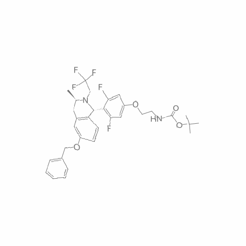 C[C@@H]1Cc2cc(OCc3ccccc3)ccc2[C@@H](c2c(F)cc(OCCNC(=O)OC(C)(C)C)cc2F)N1CC(F)(F)F